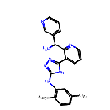 COc1ccc(OC)c(Nc2nnc(-c3cccnc3C(N)c3cccnc3)[nH]2)c1